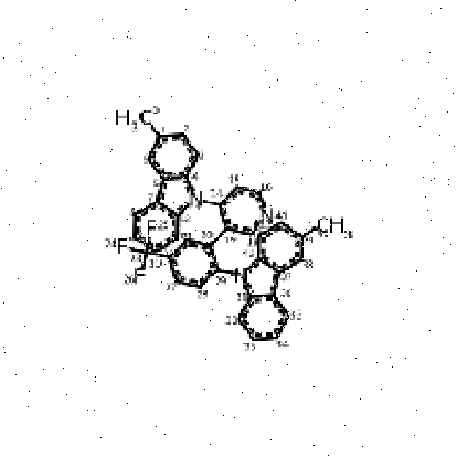 Cc1ccc2c(c1)c1ccccc1n2-c1ccncc1-c1cc(C(F)(F)F)ccc1-n1c2ccccc2c2cc(C)ccc21